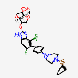 OC1CO[C@@H]2C(Oc3nc4c(F)c(-c5ccc(N6CCN(SC7CC7)CC6)cc5)c(F)cc4[nH]3)CO[C@H]12